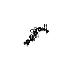 COc1ccc(-c2cnc3c(Nc4ccc(C(=O)N5CCN(CCNC6CC6)CC5)c(Cl)c4)nccn23)cc1F